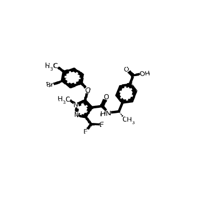 Cc1ccc(Oc2c(C(=O)N[C@@H](C)c3ccc(C(=O)O)cc3)c(C(F)F)nn2C)cc1Br